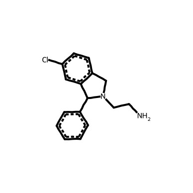 NCCN1Cc2ccc(Cl)cc2C1c1ccccc1